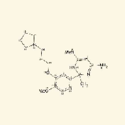 CNC1=CC(N)=NC(C)(c2cc(OCCCN3CCCC3)c(OC)cn2)N1